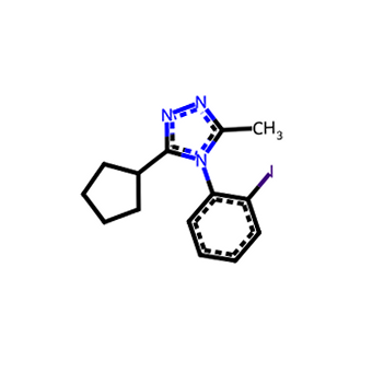 Cc1nnc(C2CCCC2)n1-c1ccccc1I